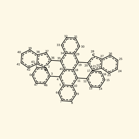 c1ccc(-c2c3ccccc3c(-c3ccccc3)c3c(-c4cc5ccccc5s4)c4ccccc4c(-c4cc5ccccc5s4)c23)cc1